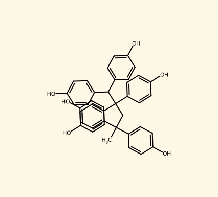 CC(CC(c1ccc(O)cc1)(c1ccc(O)cc1)C(c1ccc(O)cc1)c1ccc(O)cc1)(c1ccc(O)cc1)c1ccc(O)cc1